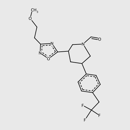 COCCc1noc(C2CC(c3ccc(CC(F)(F)F)cc3)CN(C=O)C2)n1